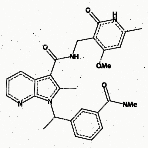 CNC(=O)c1cccc(C(C)n2c(C)c(C(=O)NCc3c(OC)cc(C)[nH]c3=O)c3cccnc32)c1